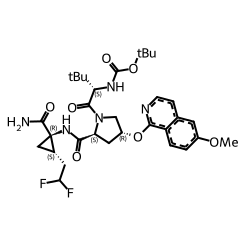 COc1ccc2c(O[C@@H]3C[C@@H](C(=O)N[C@]4(C(N)=O)C[C@H]4CC(F)F)N(C(=O)[C@@H](NC(=O)OC(C)(C)C)C(C)(C)C)C3)nccc2c1